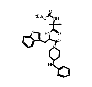 CC(C)(C)OC(=O)NC(C)(C)C(=O)NC(Cc1c[nH]c2ccccc12)C(=O)N1CCC(Nc2ccccc2)CC1